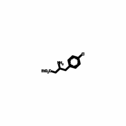 CCOC(=O)CC(N)Cc1ccc(Cl)cc1